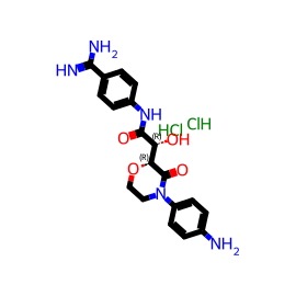 Cl.Cl.N=C(N)c1ccc(NC(=O)[C@H](O)[C@H]2OCCN(c3ccc(N)cc3)C2=O)cc1